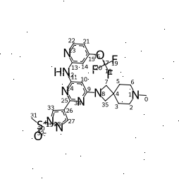 CN1CCC2(CC1)CN(c1cc(Nc3cc(OC(F)(F)F)ccn3)nc(-c3cnn([S+](C)[O-])c3)n1)C2